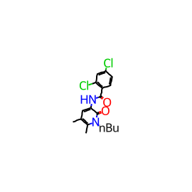 CCCCn1c(C)c(C)cc(NC(=O)c2ccc(Cl)cc2Cl)c1=O